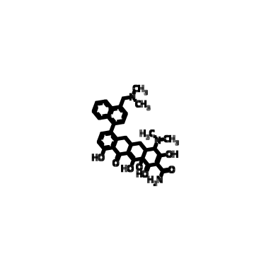 CN(C)Cc1ccc(-c2ccc(O)c3c2CC2CC4C(N(C)C)C(O)=C(C(N)=O)C(=O)C4(O)C(O)=C2C3=O)c2ccccc12